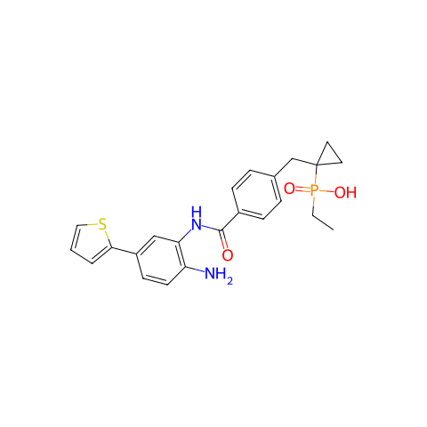 CCP(=O)(O)C1(Cc2ccc(C(=O)Nc3cc(-c4cccs4)ccc3N)cc2)CC1